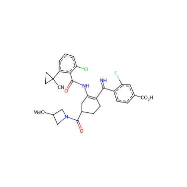 COC1CN(C(=O)C2CCC(C(=N)c3ccc(C(=O)O)cc3F)=C(NC(=O)c3c(Cl)cccc3C3(C#N)CC3)C2)C1